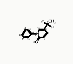 CC(F)(F)c1ccc(=O)n(-c2ccccc2)c1